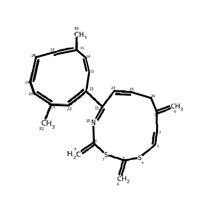 C=C1/C=C\SC(=C)SC(=C)/N=C(c2ccc(C)ccccc(C)c2)\C=C/C1